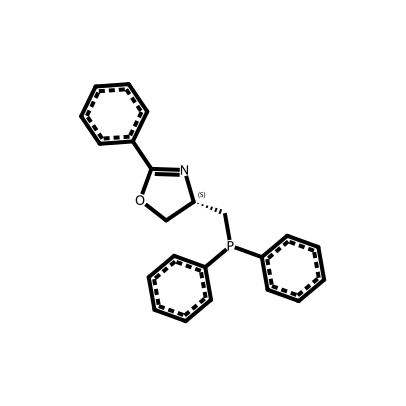 c1ccc(C2=N[C@H](CP(c3ccccc3)c3ccccc3)CO2)cc1